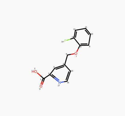 O=C(O)c1cc(COc2ccccc2F)ccn1